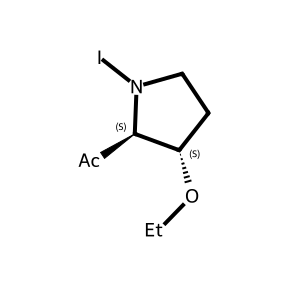 CCO[C@H]1CCN(I)[C@@H]1C(C)=O